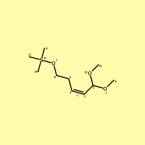 COC(/C=C\CCO[Si](C)(C)C)OC